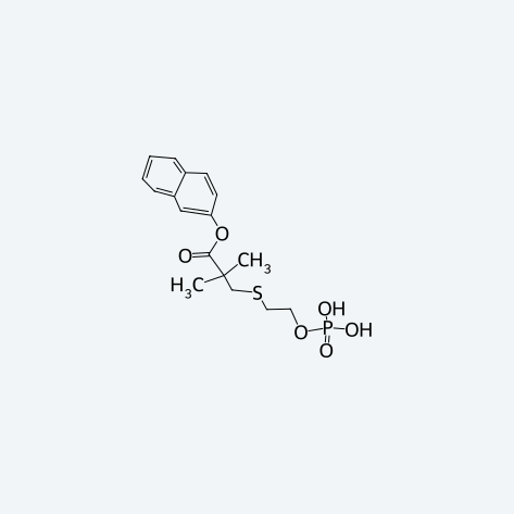 CC(C)(CSCCOP(=O)(O)O)C(=O)Oc1ccc2ccccc2c1